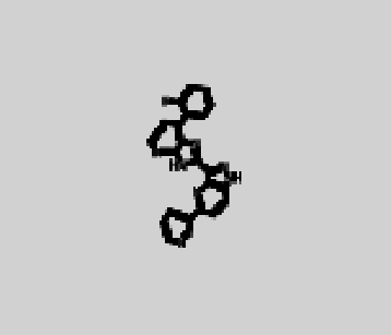 Fc1ccccc1-c1ccnc2[nH]c(-c3n[nH]c4ccc(-c5cccnc5)nc34)nc12